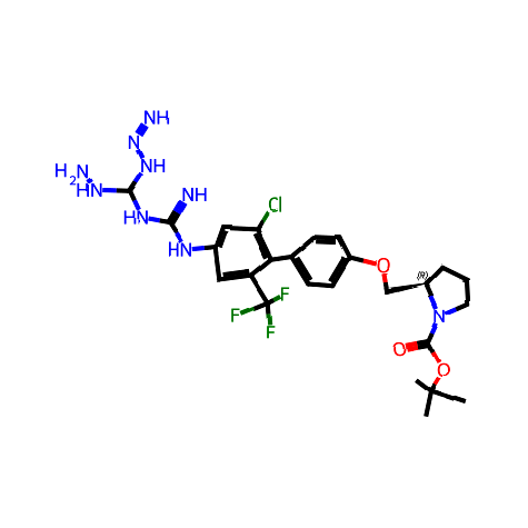 CC(C)(C)OC(=O)N1CCC[C@@H]1COc1ccc(-c2c(Cl)cc(NC(=N)NC(NN)NN=N)cc2C(F)(F)F)cc1